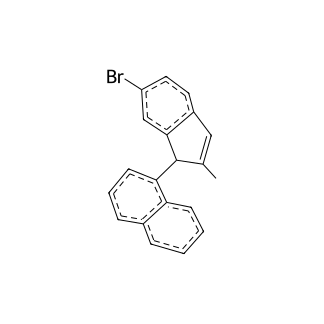 CC1=Cc2ccc(Br)cc2C1c1cccc2ccccc12